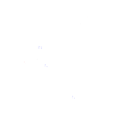 COC(=O)CCCC(C1CCN(Cc2ccccc2)CC1)C1CNC(=O)N1c1ccccc1